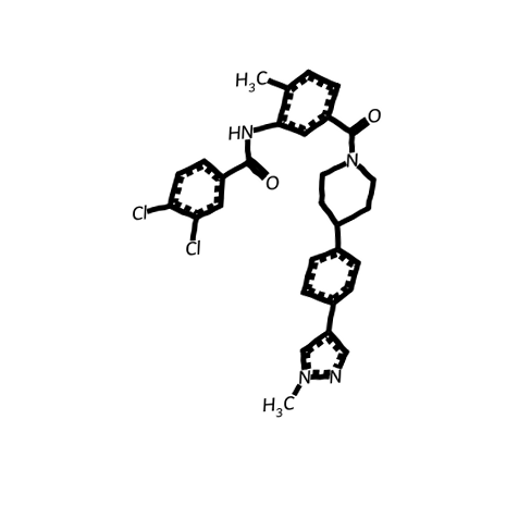 Cc1ccc(C(=O)N2CCC(c3ccc(-c4cnn(C)c4)cc3)CC2)cc1NC(=O)c1ccc(Cl)c(Cl)c1